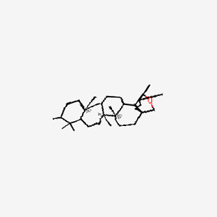 CC1CC[C@@]2(C)C(CC[C@]3(C)C2CCC2C4C5OCC4(CCC5(C)C)CC[C@@]23C)C1(C)C